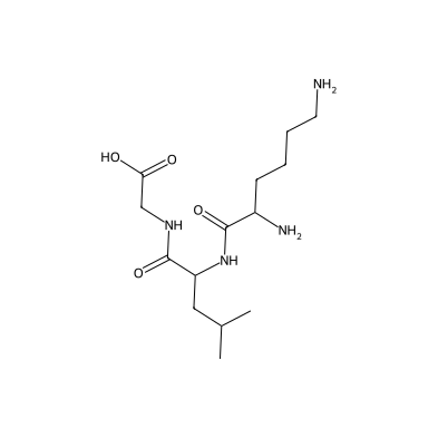 CC(C)CC(NC(=O)C(N)CCCCN)C(=O)NCC(=O)O